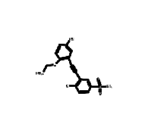 CS(=O)(=O)c1ccc(Cl)c(C#Cc2cc(C#N)ccc2OCC(=O)O)c1